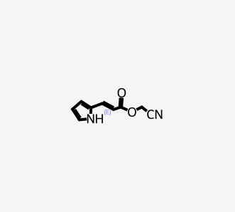 N#CCOC(=O)/C=C/c1ccc[nH]1